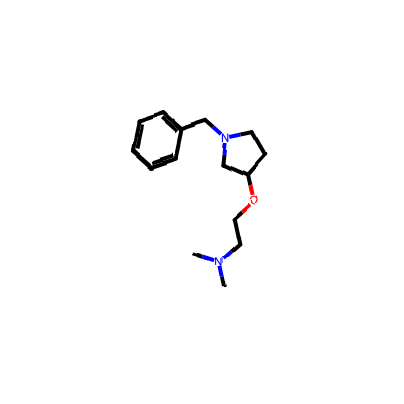 CN(C)CCOC1CCN(Cc2ccccc2)C1